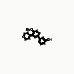 COc1cnc(-c2cccc(O)c2)nc1N1CCOCC1